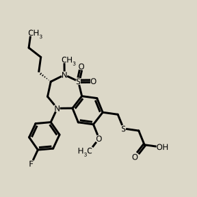 CCCC[C@H]1CN(c2ccc(F)cc2)c2cc(OC)c(CSCC(=O)O)cc2S(=O)(=O)N1C